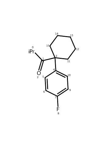 CC(C)C(=O)C1(c2ccc(F)cc2)CCCCC1